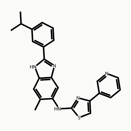 Cc1cc2[nH]c(-c3cccc(C(C)C)c3)nc2cc1Nc1nc(-c2cccnc2)cs1